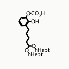 CCCCCCCOC(CCCCc1cccc(OC(=O)O)c1O)OCCCCCCC